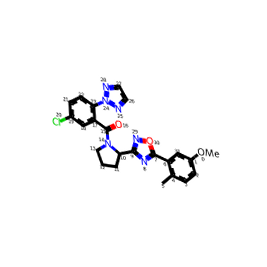 COc1ccc(C)c(-c2nc(C3CCCN3C(=O)c3cc(Cl)ccc3-n3nccn3)no2)c1